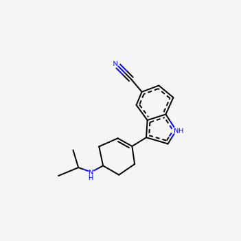 CC(C)NC1CC=C(c2c[nH]c3ccc(C#N)cc23)CC1